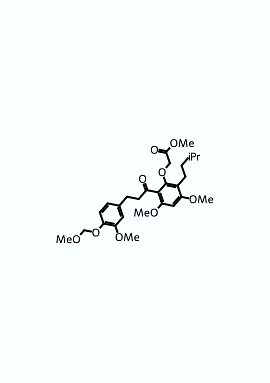 COCOc1ccc(CCC(=O)c2c(OC)cc(OC)c(CCC(C)C)c2OCC(=O)OC)cc1OC